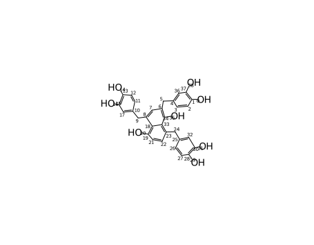 Oc1ccc(Cc2cc(Cc3ccc(O)c(O)c3)c3c(O)ccc(Cc4ccc(O)c(O)c4)c3c2O)cc1O